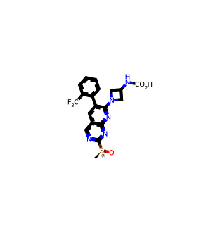 C[S@+]([O-])c1ncc2cc(-c3ccccc3C(F)(F)F)c(N3CC(NC(=O)O)C3)nc2n1